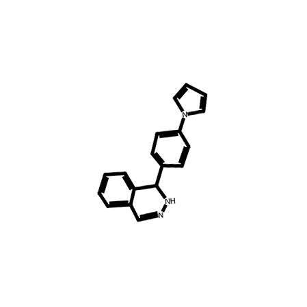 C1=NNC(c2ccc(-n3cccc3)cc2)c2ccccc21